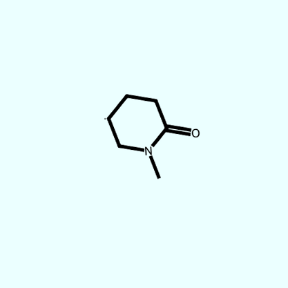 CN1C[CH]CCC1=O